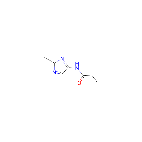 CCC(=O)NC1=NC(C)N=C1